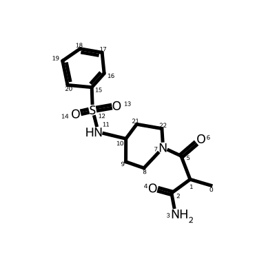 C[C](C(N)=O)C(=O)N1CCC(NS(=O)(=O)c2ccccc2)CC1